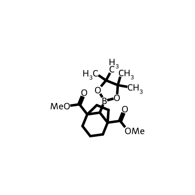 COC(=O)C12CCCC(C(=O)OC)(CC1)C2B1OC(C)(C)C(C)(C)O1